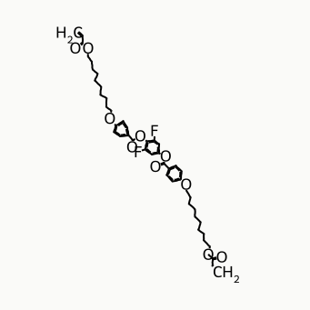 C=CC(=O)OCCCCCCCCCCOc1ccc(C(=O)Oc2cc(F)c(OC(=O)c3ccc(OCCCCCCCCCCOC(=O)C=C)cc3)c(F)c2)cc1